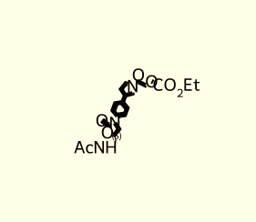 CCOC(=O)OCC(=O)N1CCC(c2ccc(N3C[C@H](CNC(C)=O)OC3=O)cc2)C1